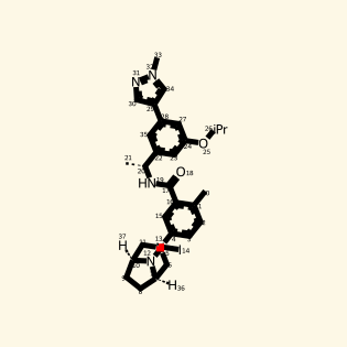 Cc1ccc(N2C[C@H]3CC[C@@H](C2)N3CI)cc1C(=O)N[C@H](C)c1cc(OC(C)C)cc(-c2cnn(C)c2)c1